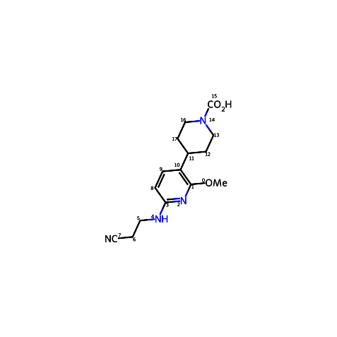 COc1nc(NCCC#N)ccc1C1CCN(C(=O)O)CC1